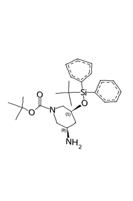 CC(C)(C)OC(=O)N1C[C@H](N)C[C@H](O[Si](c2ccccc2)(c2ccccc2)C(C)(C)C)C1